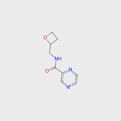 O=C(NCC1CCO1)c1cnccn1